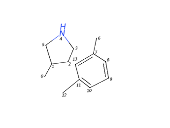 CC1CCNC1.Cc1cccc(C)c1